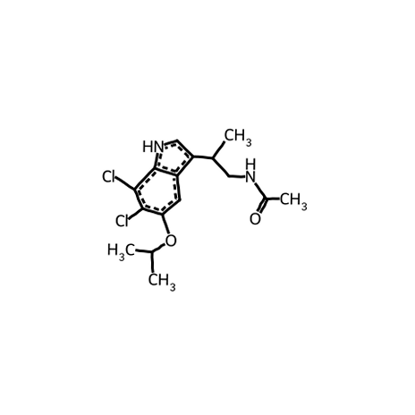 CC(=O)NCC(C)c1c[nH]c2c(Cl)c(Cl)c(OC(C)C)cc12